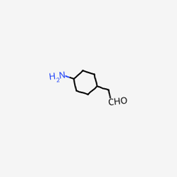 NC1CCC(CC=O)CC1